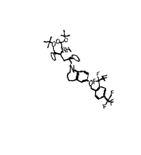 CC(C)(C)OC(=O)NC(CC(=O)N1CCc2cc(OCc3ccc(C(F)(F)F)cc3C(F)(F)F)ccc21)C(=O)OC(C)(C)C